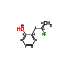 C=C(F)Cc1ccccc1O